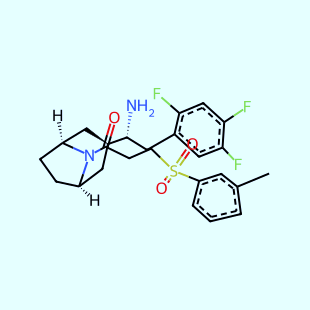 Cc1cccc(S(=O)(=O)CCC(=O)N2[C@@H]3CC[C@H]2C[C@@H]([C@H](N)Cc2cc(F)c(F)cc2F)C3)c1